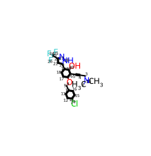 CN(C)CC#Cc1c(OCc2ccc(Cl)cc2)ccc(-c2cc(C(F)(F)F)n[nH]2)c1O